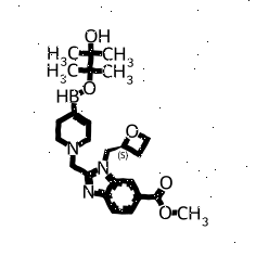 COC(=O)c1ccc2nc(CN3CC=C(BOC(C)(C)C(C)(C)O)CC3)n(C[C@@H]3CCO3)c2c1